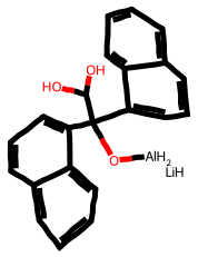 OC(O)C([O][AlH2])(c1cccc2ccccc12)c1cccc2ccccc12.[LiH]